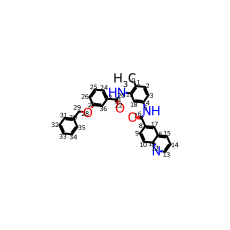 Cc1ccc(NC(=O)c2ccc3ncccc3c2)cc1NC(=O)c1cccc(OCc2ccccc2)c1